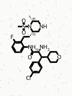 C[C@@H]1CNC[C@H](CCc2c(F)cccc2NC(=O)[C@@H](N)C(c2ccc(Cl)cc2)C2CCOCC2)N1S(C)(=O)=O